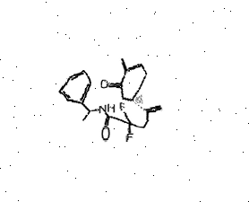 C=C(CC(F)(F)C(=O)NC(C)c1ccccc1)[C@H]1CC=C(C)C(=O)C1